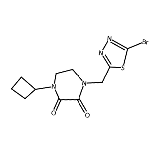 O=C1C(=O)N(C2CCC2)CCN1Cc1nnc(Br)s1